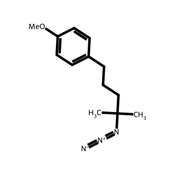 COc1ccc(CCCC(C)(C)N=[N+]=[N-])cc1